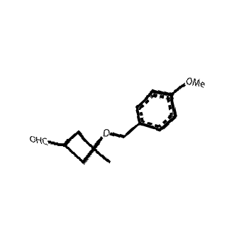 COc1ccc(COC2(C)CC(C=O)C2)cc1